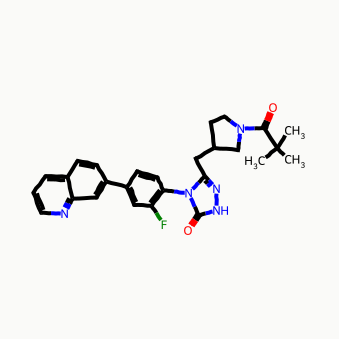 CC(C)(C)C(=O)N1CCC(Cc2n[nH]c(=O)n2-c2ccc(-c3ccc4cccnc4c3)cc2F)C1